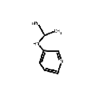 CCCC(C)Nc1[c]nccc1